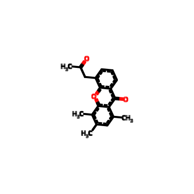 CC(=O)Cc1cccc2c(=O)c3c(C)cc(C)c(C)c3oc12